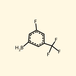 Bc1cc(F)cc(C(F)(F)F)c1